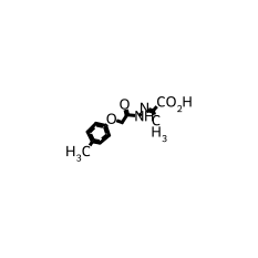 CC(=NNC(=O)COc1ccc(C)cc1)C(=O)O